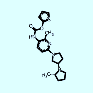 Cc1nc(N2CC[C@@H](N3CCC[C@@H]3C)C2)ccc1NC(=O)Oc1cccs1